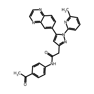 CC(=O)c1ccc(NC(=O)Cc2cc(-c3ccc4nccnc4c3)n(-c3cccc(C)n3)n2)cc1